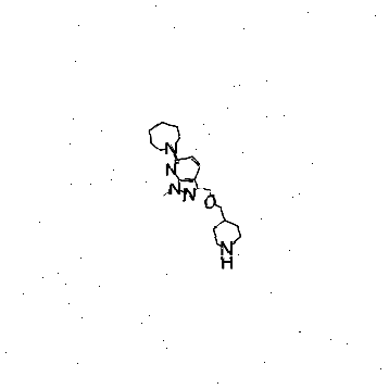 Cn1nc(COCC2CCNCC2)c2ccc(N3CCCCCC3)nc21